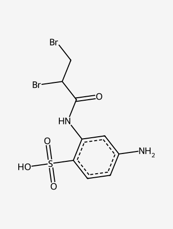 Nc1ccc(S(=O)(=O)O)c(NC(=O)C(Br)CBr)c1